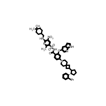 Cc1nc(NCC2CCC(C)(C)CC2)c([N+](=O)[O-])cc1S(=O)(=O)NC(=O)c1ccc(N2CCC3(CC2)CC(C2CCC[C@@H]2c2ccccc2C(C)C)C3)cc1Oc1cnc2[nH]ccc2c1